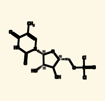 Cc1cn([C@@H]2O[C@H](COP(=O)(Cl)Cl)C(O)[C@@H]2O)c(=O)[nH]c1=O